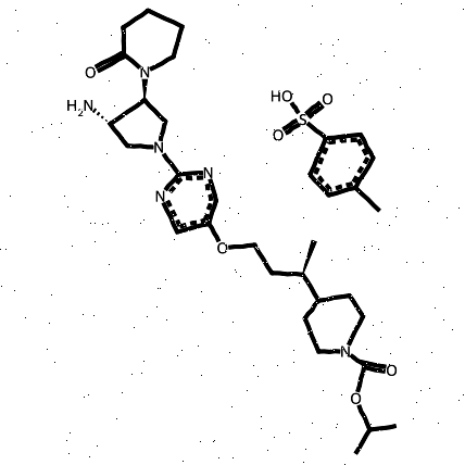 CC(C)OC(=O)N1CCC([C@H](C)CCOc2cnc(N3C[C@H](N)[C@@H](N4CCCCC4=O)C3)nc2)CC1.Cc1ccc(S(=O)(=O)O)cc1